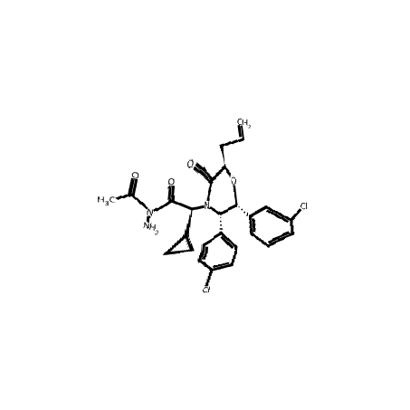 C=CC[C@H]1O[C@H](c2cccc(Cl)c2)[C@H](c2ccc(Cl)cc2)N([C@H](C(=O)N(N)C(C)=O)C2CC2)C1=O